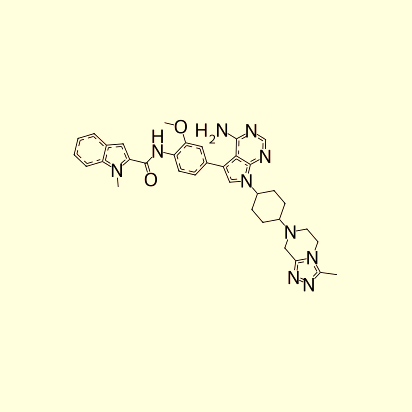 COc1cc(-c2cn(C3CCC(N4CCn5c(C)nnc5C4)CC3)c3ncnc(N)c23)ccc1NC(=O)c1cc2ccccc2n1C